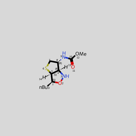 CCCC[C@@H]1ON[C@H]2[C@@H]1SC[C@@H]2NC(=O)OC